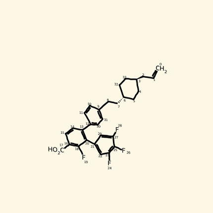 C=CC[C@H]1CC[C@H](CCc2ccc(-c3ccc(C(=O)O)c(F)c3-c3cc(F)c(F)c(F)c3)cc2)CC1